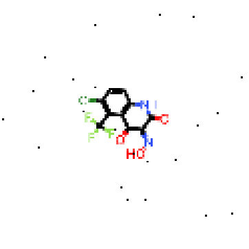 O=C1Nc2ccc(Cl)c(C(F)(F)F)c2C(=O)C1=NO